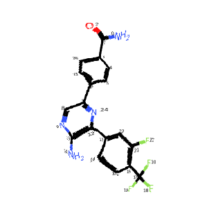 NC(=O)c1ccc(-c2cnc(N)c(-c3ccc(C(F)(F)F)c(F)c3)n2)cc1